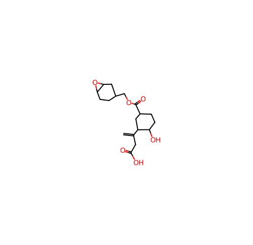 C=C(CC(=O)O)C1CC(C(=O)OCC2CCC3OC3C2)CCC1O